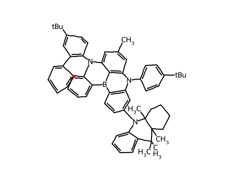 Cc1cc2c3c(c1)N(c1ccc(C(C)(C)C)cc1-c1ccccc1)c1ccccc1B3c1ccc(N3c4ccccc4C(C)(C)C4(C)CCCCC34C)cc1N2c1ccc(C(C)(C)C)cc1